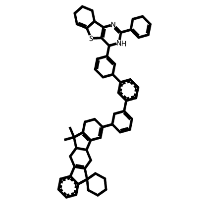 CC1(C)C2=C(C=C(C3C=CC=C(c4cccc(C5C=C(C6NC(C7=CC=CCC7)=NC7=C6SC6=CCCCC67)C=CC5)c4)C3)CC2)C2CC3=C(CC21)c1ccccc1C31CCCCC1